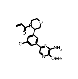 C=CC(=O)N1CCOC[C@H]1c1cc(Cl)cc(-c2cnc(OC)c(N)n2)c1